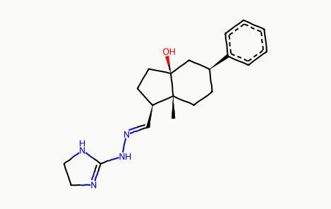 C[C@]12CC[C@H](c3ccccc3)C[C@@]1(O)CC[C@@H]2/C=N/NC1=NCCN1